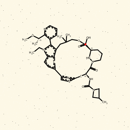 CCn1c(-c2cccnc2[C@H](C)OC)c2c3cc(ccc31)-c1csc(n1)C[C@H](NC(=O)N1CC(C)C1)C(=O)N1CCC[C@@](C(=O)O)(COCC(C)(C)C2)N1